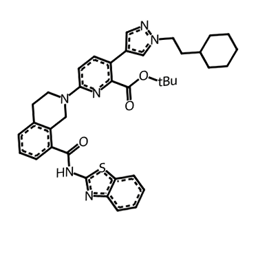 CC(C)(C)OC(=O)c1nc(N2CCc3cccc(C(=O)Nc4nc5ccccc5s4)c3C2)ccc1-c1cnn(CCC2CCCCC2)c1